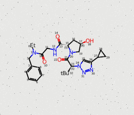 CCN(Cc1ccccc1)C(=O)CNC(=O)[C@@H]1C[C@@H](O)CN1C(=O)[C@@H](n1cc(C2CC2)nn1)C(C)(C)C